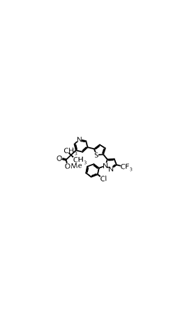 COC(=O)C(C)(C)c1cncc(-c2ccc(-c3cc(C(F)(F)F)nn3-c3ccccc3Cl)s2)c1